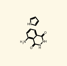 Nc1cccc2c(=O)[nH][nH]c(=O)c12.c1cc[nH]c1